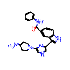 NC1CCN(c2cncc(-c3c[nH]c4ccc(C(=O)Nc5ccccc5)cc34)n2)CC1